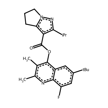 Cc1nc2c(F)cc(C(C)(C)C)cc2c(OC(=O)c2c(C(C)C)nn3c2CCC3)c1C